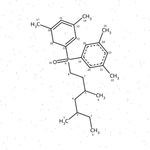 CCC(C)CC(C)CCP(=O)(C1=CC(C)=C=C(C)C1)c1cc(C)cc(C)c1